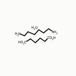 NCCCCCCN.O.O=C(O)CCCCC(=O)O